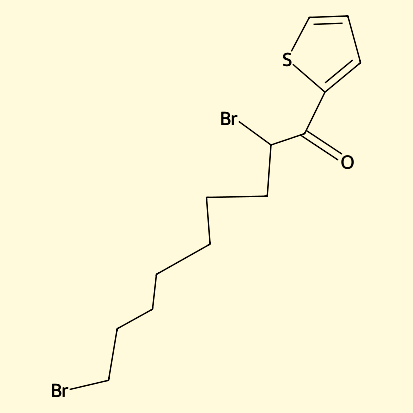 O=C(c1cccs1)C(Br)CCCCCCCBr